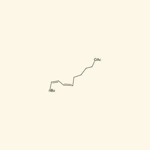 CCCC/C=C\C=C/CCCCOC(C)=O